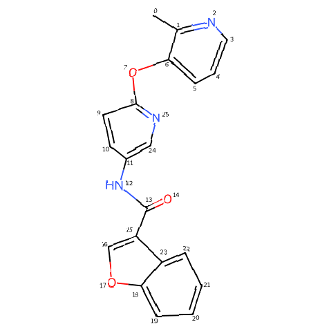 Cc1ncccc1Oc1ccc(NC(=O)c2coc3ccccc23)cn1